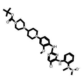 COc1cc(N2CCC(N3CCN(C(=O)OC(C)(C)C)CC3)CC2)ccc1Nc1ncc(Cl)c(Nc2ccccc2N(C)[S+](C)[O-])n1